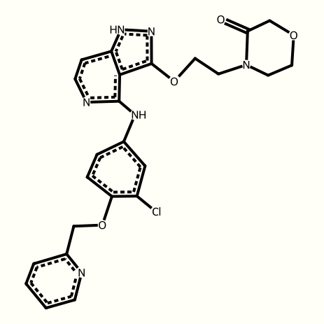 O=C1COCCN1CCOc1n[nH]c2ccnc(Nc3ccc(OCc4ccccn4)c(Cl)c3)c12